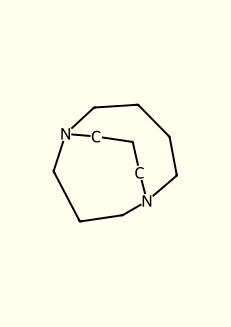 C1CCN2CCCN(C1)CCC2